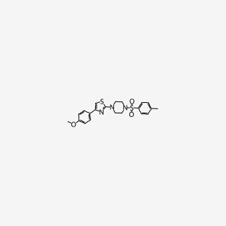 COc1ccc(-c2csc(N3CCN(S(=O)(=O)c4ccc(C)cc4)CC3)n2)cc1